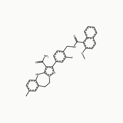 COc1ccc2ccccc2c1C(=O)NCc1ccc(-c2nn3c(c2C(N)=O)Nc2ccc(C)cc2CC3)cc1F